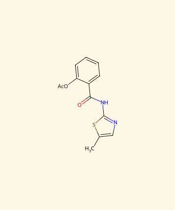 CC(=O)Oc1ccccc1C(=O)Nc1ncc(C)s1